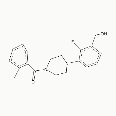 Cc1ccccc1C(=O)N1CCN(c2cccc(CO)c2F)CC1